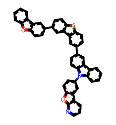 c1ccc2c(c1)oc1ccc(-c3ccc4sc5ccc(-c6ccc7c(c6)c6ccccc6n7-c6ccc7oc8ncccc8c7c6)cc5c4c3)cc12